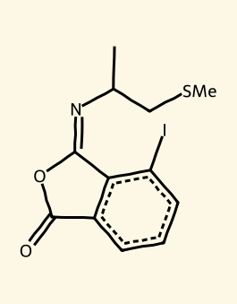 CSCC(C)/N=C1/OC(=O)c2cccc(I)c21